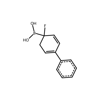 OB(O)C1(F)C=CC(c2ccccc2)=CC1